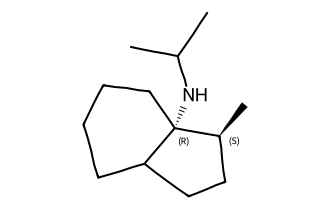 CC(C)N[C@@]12CCCCC1CC[C@@H]2C